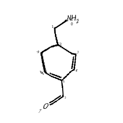 NCC1C=CC(C=O)=CC1